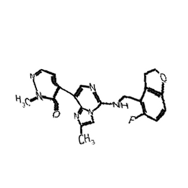 Cc1cn2c(NCc3c(F)ccc4c3CCO4)ncc(-c3ccnn(C)c3=O)c2n1